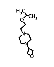 CC(C)OCCN1CCN(C2COC2)CC1